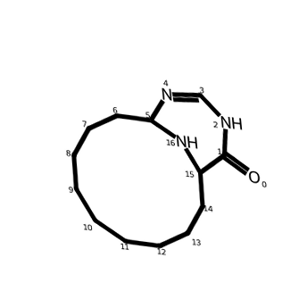 O=C1NC=NC2CCCCCCCCCC1N2